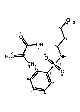 C=C(C)C(=O)O.CCCCNS(=O)(=O)c1ccccc1